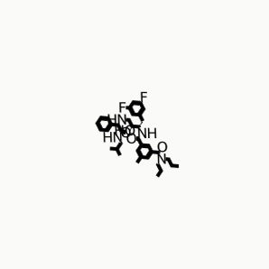 CCCN(CCC)C(=O)c1cc(C)cc(C(=O)N[C@@H](Cc2cc(F)cc(F)c2)[C@H](O)CN[C@H](C(=O)NCC(C)C)c2ccccc2)c1